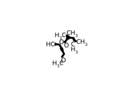 C#CC(C#CCCOC)OC(=O)C1C(C=C(C)C)C1(C)C